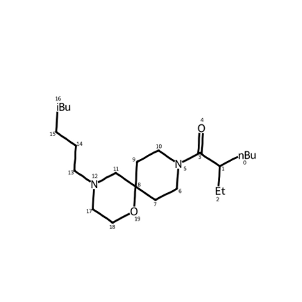 CCCCC(CC)C(=O)N1CCC2(CC1)CN(CCCC(C)CC)CCO2